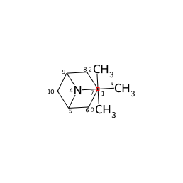 CC(C)(C)N1C2CCCC1C2